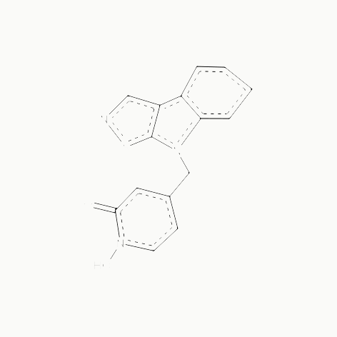 O=c1cc(Cn2c3ccccc3c3cnsc32)ccn1O